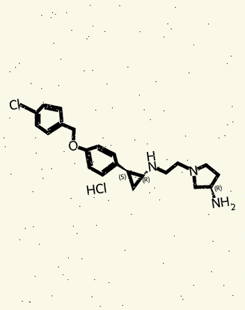 Cl.N[C@@H]1CCN(CCN[C@@H]2C[C@H]2c2ccc(OCc3ccc(Cl)cc3)cc2)C1